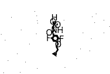 O=C(NC[SH](=O)=O)c1cc(F)c(OCCC2CC2)cc1F